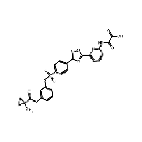 CC1(C(=O)Nc2cccc(NS(=O)(=O)c3ccc(-c4noc(-c5cccc(NC(=O)C(=O)O)n5)n4)cc3)c2)CC1